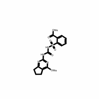 COC(=O)c1ccccc1S(=O)(=O)NC(=O)Nc1nc2c(c(OC)n1)CCC2